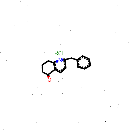 Cl.O=C1CCCc2nc(Cc3ccccc3)ccc21